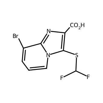 O=C(O)c1nc2c(Br)cccn2c1SC(F)F